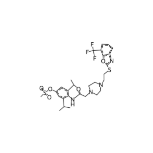 CC(C)c1cc(OS(C)(=O)=O)cc(C(C)C)c1NC(=O)CN1CCN(CCSc2nc3cccc(C(F)(F)F)c3o2)CC1